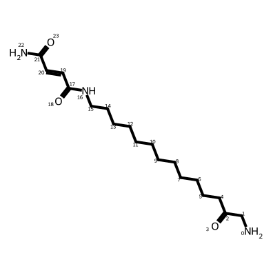 NCC(=O)CCCCCCCCCCCCNC(=O)C=CC(N)=O